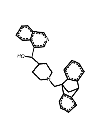 OC(c1cncc2ccccc12)C1CCN(CC23CC(c4ccccc42)c2ccccc23)CC1